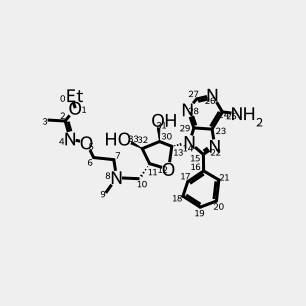 CCO/C(C)=N\OCCN(C)C[C@H]1O[C@@H](n2c(-c3ccccc3)nc3c(N)ncnc32)[C@H](O)[C@@H]1O